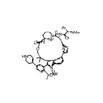 CCn1c(-c2cc(C3=CCNCC3)cnc2[C@H](C)OC)c2c3cc(ccc31)-c1csc(n1)C[C@H](NC(=O)C(NC)C(C)C)C(=O)N1CCC[C@H](N1)C(=O)OCC(C)(C)C2